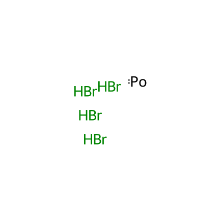 Br.Br.Br.Br.[Po]